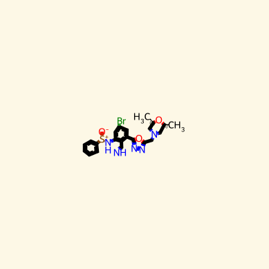 C[C@@H]1CN(Cc2nnc(-c3cc(Br)cc(N[S+]([O-])c4ccccc4)c3C=N)o2)C[C@H](C)O1